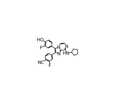 N#Cc1ccc(-c2nc3c(NC4CCCC4)nccn3c2-c2ccc(O)c(F)c2)cc1F